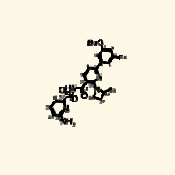 CC(C)COc1cc(F)cc(-c2ccc(C(=O)NS(=O)(=O)c3cccc(N)n3)c(N3CCC3C)n2)c1